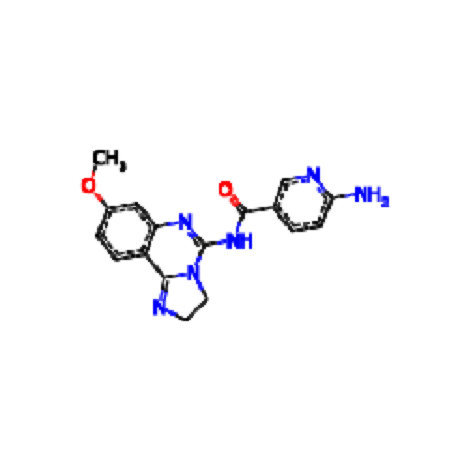 COc1ccc2c(c1)N=C(NC(=O)c1ccc(N)nc1)N1CCN=C21